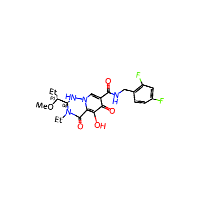 CC[C@@H](OC)[C@@H]1Nn2cc(C(=O)NCc3ccc(F)cc3F)c(=O)c(O)c2C(=O)N1CC